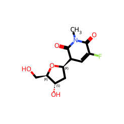 CN1C(=O)C(F)=CC([C@H]2C[C@H](O)[C@@H](CO)O2)C1=O